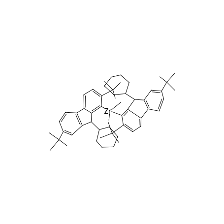 CC(C)(C)c1ccc2c(c1)C(C1CCCCC1)c1c-2ccc(C(C)(C)C)[c]1[Zr]([CH3])([CH3])[c]1c(C(C)(C)C)ccc2c1C(C1CCCCC1)c1cc(C(C)(C)C)ccc1-2